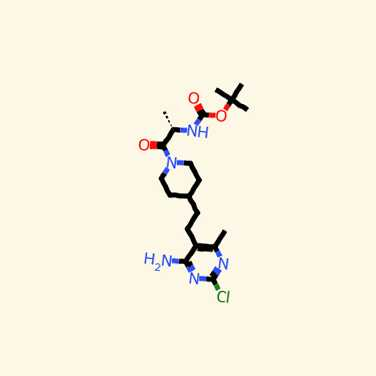 Cc1nc(Cl)nc(N)c1CCC1CCN(C(=O)[C@H](C)NC(=O)OC(C)(C)C)CC1